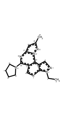 CCn1ncc2c1ncc1c(N3CCCC3)nc3cc(C)nn3c12